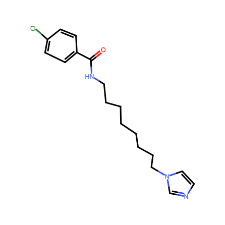 O=C(NCCCCCCCCn1ccnc1)c1ccc(Cl)cc1